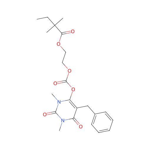 CCC(C)(C)C(=O)OCCOC(=O)Oc1c(Cc2ccccc2)c(=O)n(C)c(=O)n1C